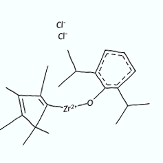 CC1=C(C)C(C)(C)[C]([Zr+2][O]c2c(C(C)C)cccc2C(C)C)=C1C.[Cl-].[Cl-]